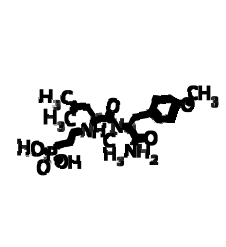 COc1ccc(C[C@@H](C(N)=O)N(C)C(=O)[C@H](CC(C)C)NCCCP(=O)(O)O)cc1